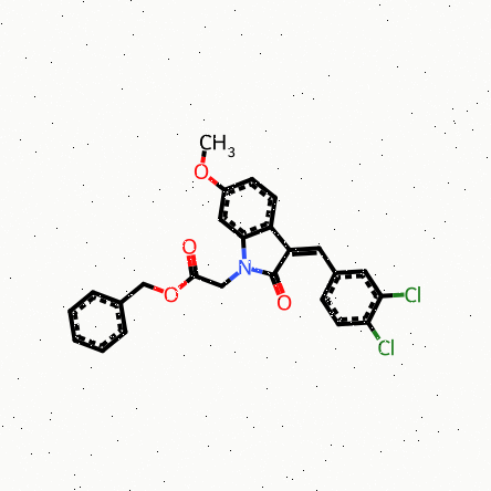 COc1ccc2c(c1)N(CC(=O)OCc1ccccc1)C(=O)C2=Cc1ccc(Cl)c(Cl)c1